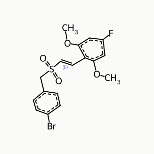 COc1cc(F)cc(OC)c1/C=C/S(=O)(=O)Cc1ccc(Br)cc1